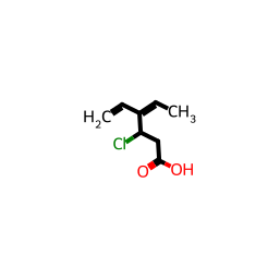 C=CC(=CC)C(Cl)CC(=O)O